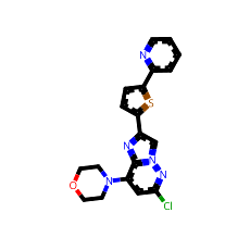 Clc1cc(N2CCOCC2)c2nc(-c3ccc(-c4ccccn4)s3)cn2n1